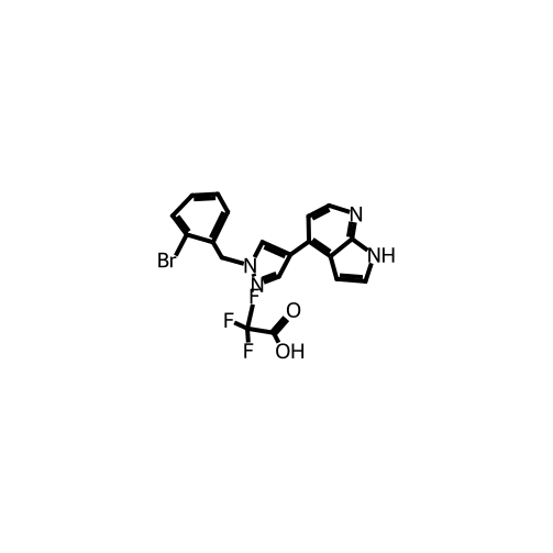 Brc1ccccc1Cn1cc(-c2ccnc3[nH]ccc23)cn1.O=C(O)C(F)(F)F